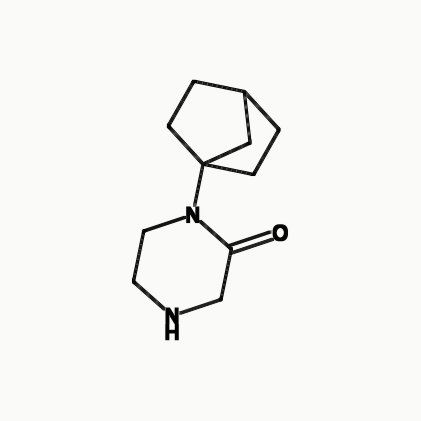 O=C1CNCCN1C12CCC(CC1)C2